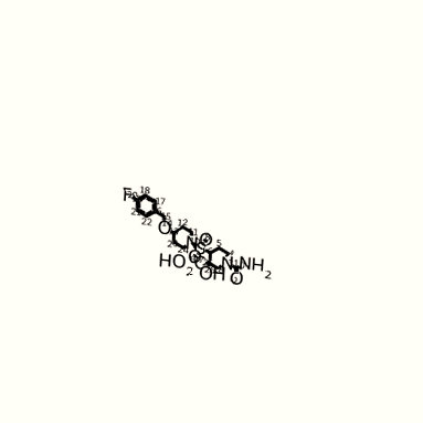 NC(=O)N1CCC(S(=O)(=O)N2CCC(OCc3ccc(F)cc3)CC2)C(O)(C(=O)O)C1